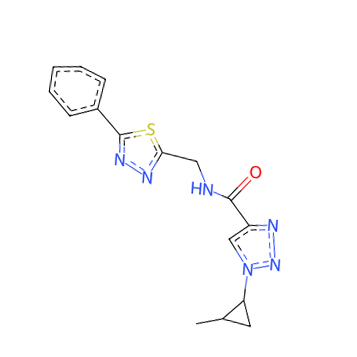 CC1CC1n1cc(C(=O)NCc2nnc(-c3ccccc3)s2)nn1